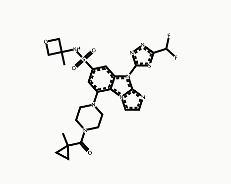 CC1(NS(=O)(=O)c2cc(N3CCN(C(=O)C4(C)CC4)CC3)c3c(c2)n(-c2nnc(C(F)F)s2)c2nccn32)COC1